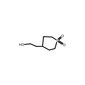 O=S1(=O)CCC(CCO)CC1